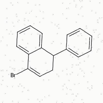 BrC1=CCC(c2ccccc2)c2ccccc21